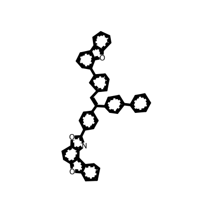 C(=C(/c1ccc(-c2ccccc2)cc1)c1ccc(-c2nc3c(ccc4oc5ccccc5c43)o2)cc1)/c1cccc(-c2cccc3c2oc2ccccc23)c1